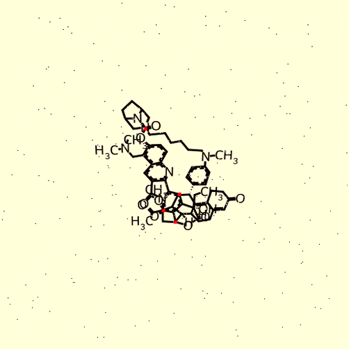 CC[C@@]1(O)C(=O)OCc2c1cc1n(c2=O)Cc2cc3c(CN(C)C)c(OC(=O)N4C5CCC4CN(CCCCCCN(C)c4ccc([C@H]6CC7[C@@H](CC[C@]7(OC(C)=O)C(C)=O)[C@@H]7CCC8=CC(=O)CCC8=C76)cc4)C5)ccc3nc2-1